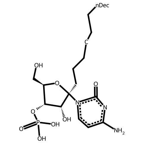 CCCCCCCCCCCCCCCC[C@@]1(n2ccc(N)nc2=O)O[C@H](CO)[C@@H](OP(=O)(O)O)[C@H]1O